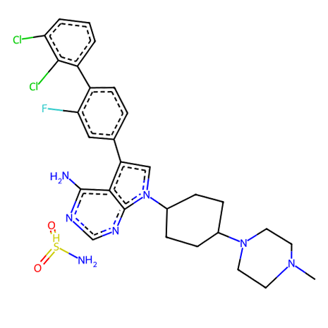 CN1CCN(C2CCC(n3cc(-c4ccc(-c5cccc(Cl)c5Cl)c(F)c4)c4c(N)ncnc43)CC2)CC1.N[SH](=O)=O